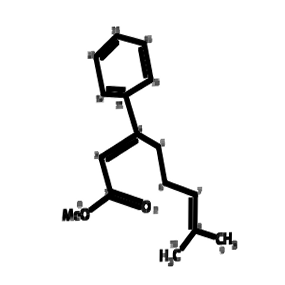 COC(=O)C=C(CCC=C(C)C)c1ccccc1